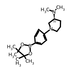 CN(C)[C@H]1CCCN(c2ccc(B3OC(C)(C)C(C)(C)O3)cc2)C1